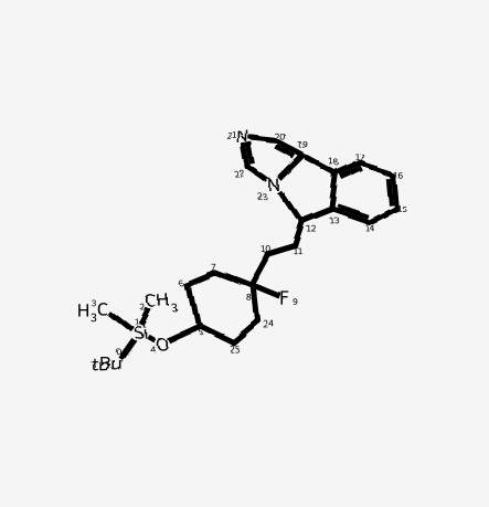 CC(C)(C)[Si](C)(C)OC1CCC(F)(CCC2c3ccccc3-c3cncn32)CC1